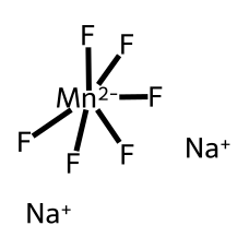 [F][Mn-2]([F])([F])([F])([F])[F].[Na+].[Na+]